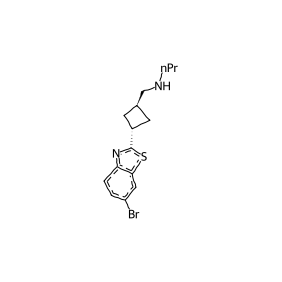 CCCNC[C@H]1C[C@H](c2nc3ccc(Br)cc3s2)C1